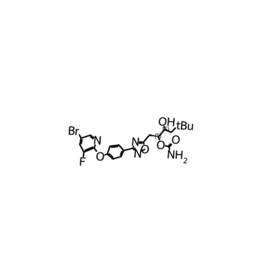 CC(C)(C)C[C@H](O)[C@H](Cc1nc(-c2ccc(Oc3ncc(Br)cc3F)cc2)no1)OC(N)=O